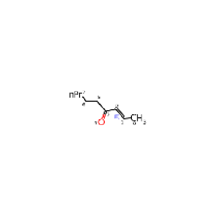 C/C=C/C(=O)CCCCC